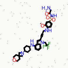 COc1cc(S(=O)(=O)NC(=O)CN)ccc1NCC#Cc1cc2c(N[C@H]3CC[C@@H](N4CC5(CCOCC5)C4)CC3)cccc2n1CC(F)(F)F